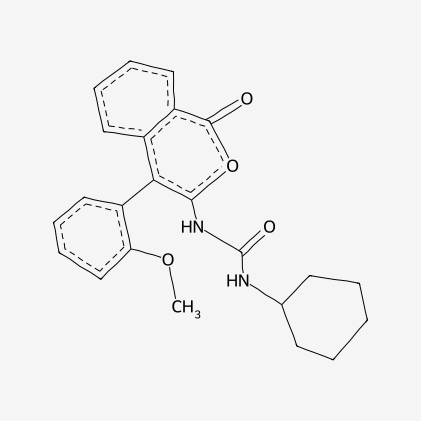 COc1ccccc1-c1c(NC(=O)NC2CCCCC2)oc(=O)c2ccccc12